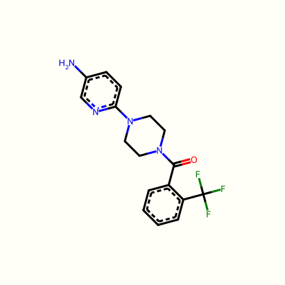 Nc1ccc(N2CCN(C(=O)c3ccccc3C(F)(F)F)CC2)nc1